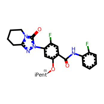 CCC[C@H](C)Oc1cc(-n2nc3n(c2=O)CCCC3)c(F)cc1C(=O)Nc1ccccc1F